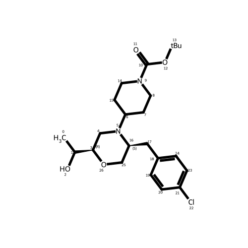 CC(O)[C@H]1CN(C2CCN(C(=O)OC(C)(C)C)CC2)[C@@H](Cc2ccc(Cl)cc2)CO1